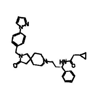 O=C(CC1CC1)N[C@@H](CCN1CCC2(CC1)CC(=O)N(Cc1ccc(-n3cccn3)cc1)C2)c1ccccc1